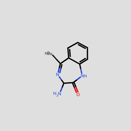 CCCCC1=NC(N)C(=O)Nc2ccccc21